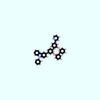 c1ccc(-n2c3ccccc3c3cc(-c4ccc5c(c4)Oc4ccccc4-c4ccccc4Oc4cc(-c6ccccn6)ccc4-5)ccc32)cc1